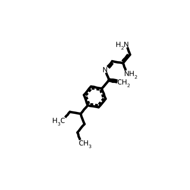 C=C(/N=C\C(N)=C/N)c1ccc(C(CC)CCC)cc1